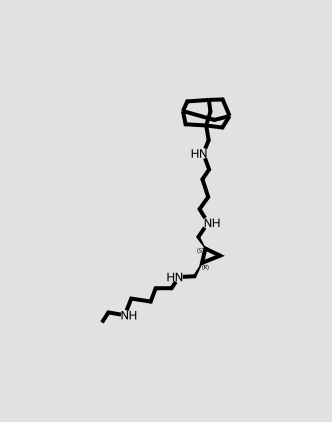 CCNCCCCNC[C@@H]1C[C@@H]1CNCCCCNCC12CC3CC(CC(C3)C1)C2